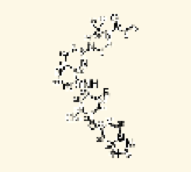 C=CC(=O)N1CCN(c2ccc3ncnc(Nc4cc(Cl)c(Oc5ccn6ncnc6c5)cc4F)c3n2)CC1(C)C